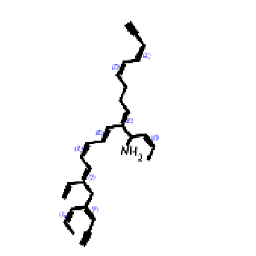 C#C/C=C\C=C/CC\C=C(/C=C/C=C\C=C(/C=C)CC(/C=C\C)=C/C#C)C(N)/C=C\C